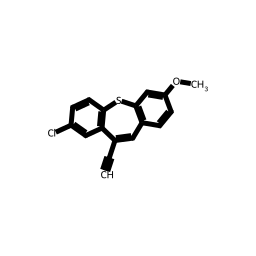 C#CC1=Cc2ccc(OC)cc2Sc2ccc(Cl)cc21